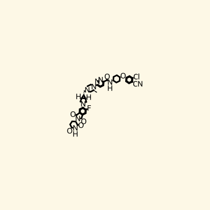 C[C@H]1CN(C[C@@H]2[C@H]3CN(c4cc5c(cc4F)C(=O)N(C4CCC(=O)NC4=O)C5=O)C[C@@H]23)CCN1c1ccc(C(=O)N[C@H]2CC[C@H](Oc3ccc(C#N)c(Cl)c3)CC2)nn1